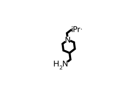 C[C](C)CN1CCC(CN)CC1